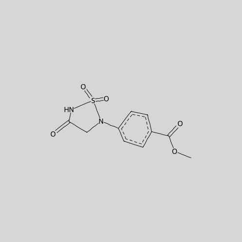 COC(=O)c1ccc(N2CC(=O)NS2(=O)=O)cc1